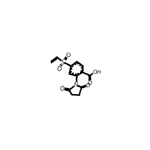 C=CS(=O)(=O)c1ccc(C(=O)O)c(N2C(=O)CCC2=O)c1